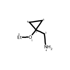 CCOC1(CN)CC1